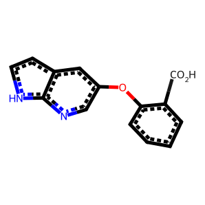 O=C(O)c1ccccc1Oc1cnc2[nH]ccc2c1